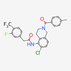 Cc1ccc(C(=O)N2CCc3c(ccc(Cl)c3NC(=O)Cc3ccc(C(F)(F)F)c(F)c3)C2)cc1